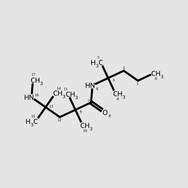 CCCC(C)(C)NC(=O)C(C)(C)CC(C)(C)NC